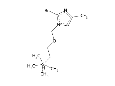 C[SH](C)(C)(C)CCOCn1cc(C(F)(F)F)nc1Br